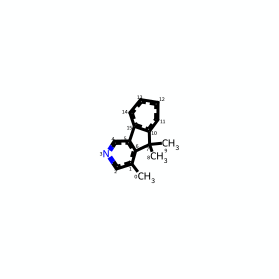 Cc1cncc2c1C(C)(C)c1ccccc1-2